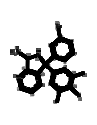 Cc1cc(C2(c3cccc(Br)c3)NC(N)c3ncccc32)cc(C)c1F